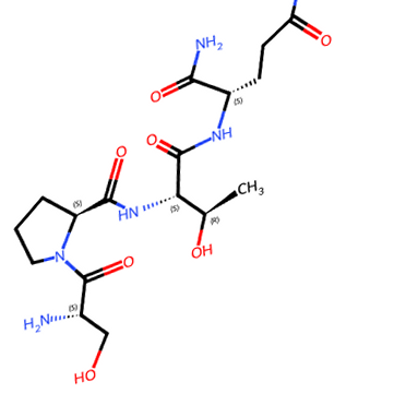 C[C@@H](O)[C@H](NC(=O)[C@@H]1CCCN1C(=O)[C@@H](N)CO)C(=O)N[C@@H](CCC(N)=O)C(N)=O